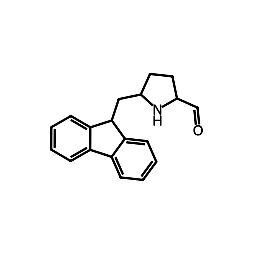 O=CC1CCC(CC2c3ccccc3-c3ccccc32)N1